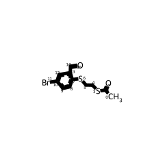 CC(=O)SCCSc1ccc(Br)cc1C=O